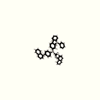 c1ccc(-n2c3ccccc3c3ccc(N(c4ccc(-c5cccc6ccccc56)cc4)c4nc5c(ccc6ccccc65)o4)cc32)cc1